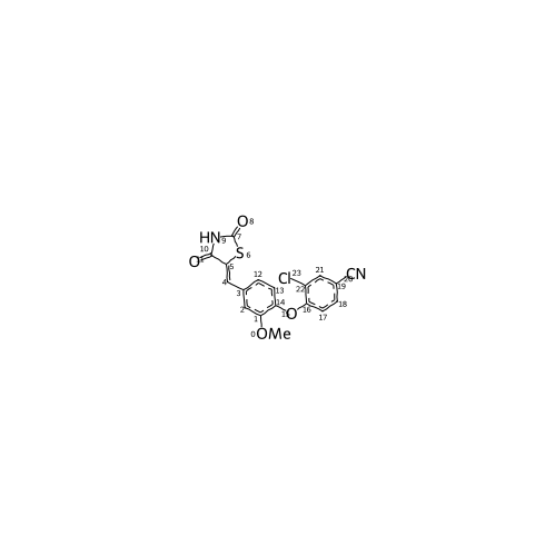 COc1cc(/C=C2\SC(=O)NC2=O)ccc1Oc1ccc(C#N)cc1Cl